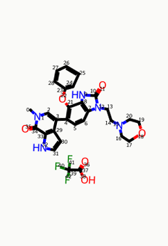 Cn1cc(-c2ccc3c([nH]c(=O)n3CCN3CCOCC3)c2Oc2ccccc2)c2cc[nH]c2c1=O.O=C(O)C(F)(F)F